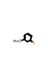 COC1=CC=CC(=S)C1